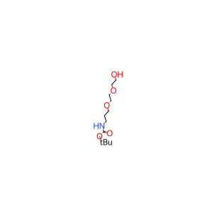 CC(C)(C)OC(=O)NCCCOCCOCCO